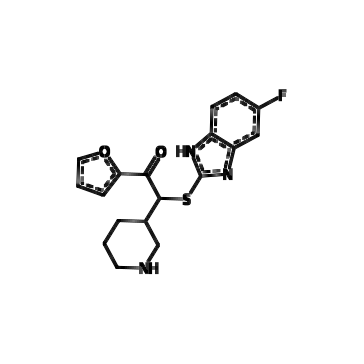 O=C(c1ccco1)C(Sc1nc2cc(F)ccc2[nH]1)C1CCCNC1